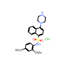 COc1ccc(NS(=O)(=O)c2ccc(N3CCNCC3)c3ccccc23)c(OC)c1.Cl